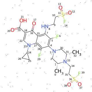 C[C@@H]1CN(c2c(F)c(NCCS(=O)(=O)F)c3c(=O)c(C(=O)O)cn(C4CC4)c3c2F)C[C@H](C)N1CCS(=O)(=O)F